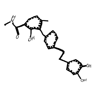 CNC(=O)c1ccc(C)c(-c2ccc(CCc3ccc(O)c(O)c3)cc2)c1O